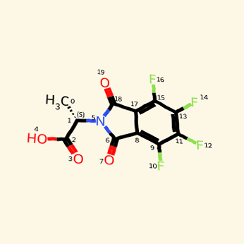 C[C@@H](C(=O)O)N1C(=O)c2c(F)c(F)c(F)c(F)c2C1=O